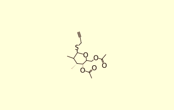 C#CCS[C@H]1OC(COC(C)=O)[C@H](OC(C)=O)[C@H](C)C1C